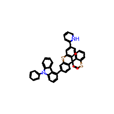 C1=CCNC(c2ccc3c(c2)Sc2cc(-c4cccc5c4c4ccccc4n5-c4ccccc4)ccc2C32c3ccccc3Sc3ccccc32)=C1